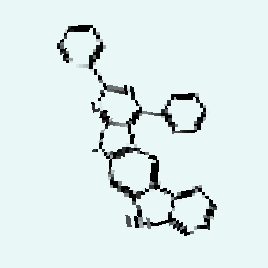 c1ccc(-c2nc(-c3ccccc3)c3c(n2)oc2cc4[nH]c5ccccc5c4cc23)cc1